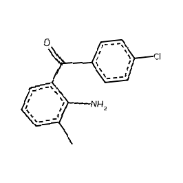 Cc1cccc(C(=O)c2ccc(Cl)cc2)c1N